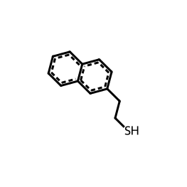 SCCc1ccc2ccccc2c1